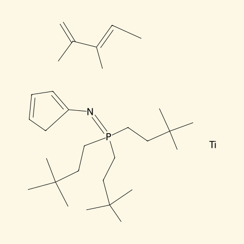 C=C(C)C(C)=CC.CC(C)(C)CCP(CCC(C)(C)C)(CCC(C)(C)C)=NC1=CC=CC1.[Ti]